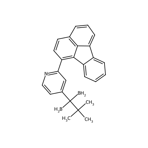 BC(B)(c1ccnc(-c2ccc3cccc4c3c2-c2ccccc2-4)c1)C(C)(C)C